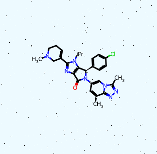 Cc1cc(N2C(=O)c3nc(C4=CCCN(C)C4)n(C(C)C)c3[C@H]2c2ccc(Cl)cc2)cn2c(C)nnc12